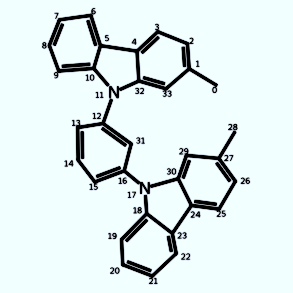 Cc1ccc2c3ccccc3n(-c3cccc(-n4c5ccccc5c5ccc(C)cc54)c3)c2c1